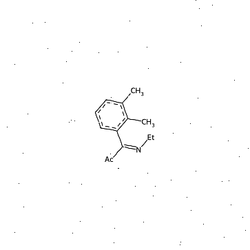 CC/N=C(/C(C)=O)c1cccc(C)c1C